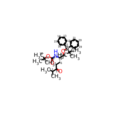 CC(C)C(=O)CC[C@@H](CO[Si](c1ccccc1)(c1ccccc1)C(C)(C)C)NC(=O)OC(C)(C)C